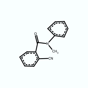 CN(C(=O)c1ccccc1C#N)c1ccccc1